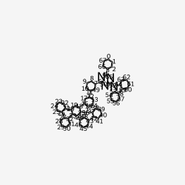 c1ccc(-c2nc(-c3cccc(-c4ccc5c(c4)-c4cc6c7ccccc7c7ccccc7c6cc4C54c5ccccc5-c5ccccc54)c3)nc(-n3c4ccccc4c4ccccc43)n2)cc1